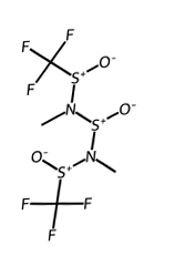 CN([S+]([O-])N(C)[S+]([O-])C(F)(F)F)[S+]([O-])C(F)(F)F